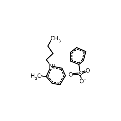 CCCC[n+]1ccccc1C.O=S(=O)([O-])c1ccccc1